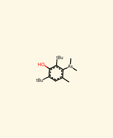 Cc1cc(C(C)(C)C)c(O)c(C(C)(C)C)c1[As](C)C